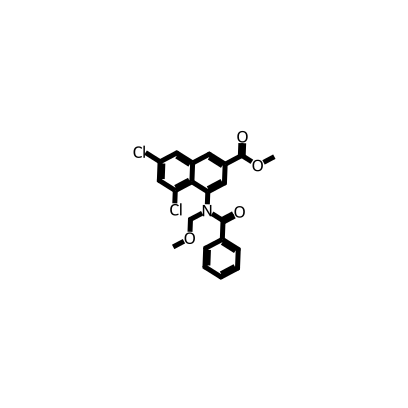 COCN(C(=O)c1ccccc1)c1cc(C(=O)OC)cc2cc(Cl)cc(Cl)c12